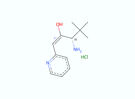 CC(C)(C)[C@H](N)/C(O)=C\c1ccccn1.Cl